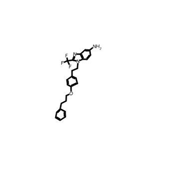 Nc1ccc2c(c1)nc(C(F)(F)F)n2CCc1ccc(OCCCc2ccccc2)cc1